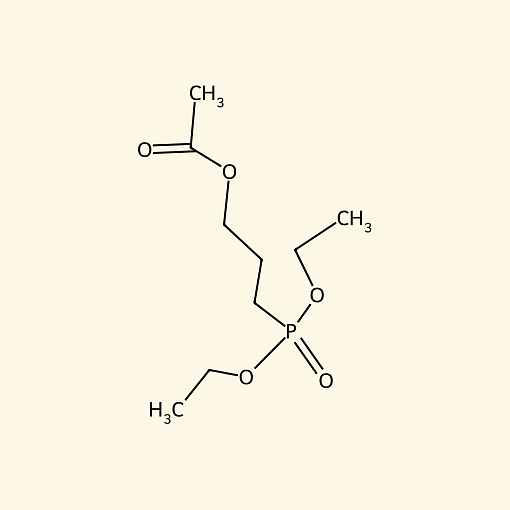 CCOP(=O)(CCCOC(C)=O)OCC